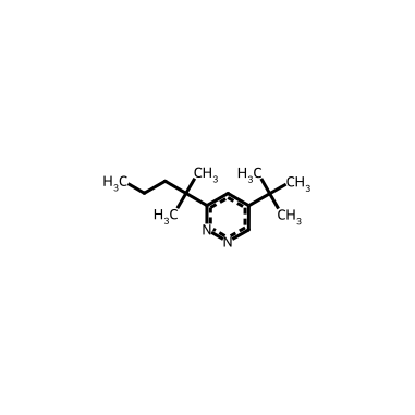 CCCC(C)(C)c1cc(C(C)(C)C)cnn1